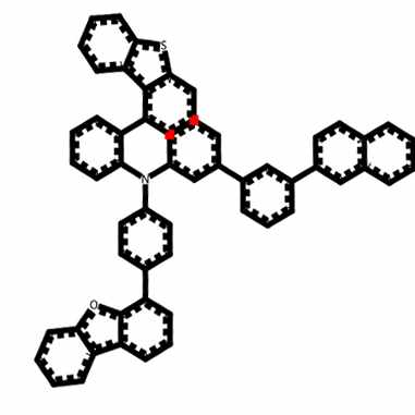 c1cc(-c2cccc(N(c3ccc(-c4cccc5c4oc4ccccc45)cc3)c3ccccc3-c3cccc4sc5ccccc5c34)c2)cc(-c2ccc3ccccc3c2)c1